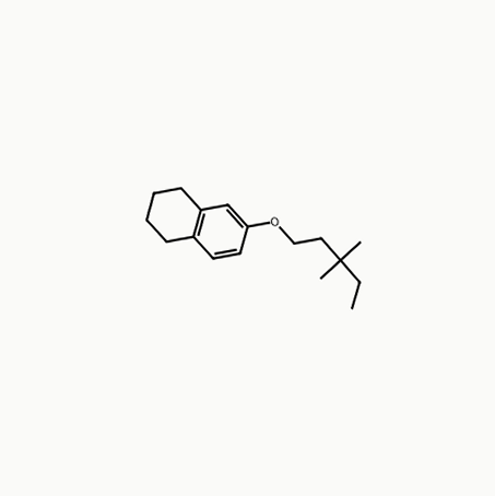 CCC(C)(C)CCOc1ccc2c(c1)CCCC2